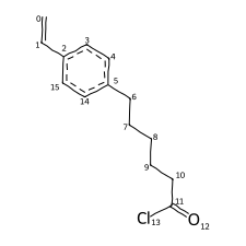 C=Cc1ccc(CCCCCC(=O)Cl)cc1